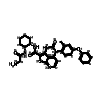 Cc1cc(Oc2ccccc2)ccc1N1C(=O)Nc2c(C(=O)N[C@H]3CCCC[C@H]3NC(=O)CN)sc3nccc1c23